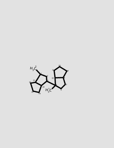 CC1CC(C2(C)CCC3CCCC32)C2CCCC12